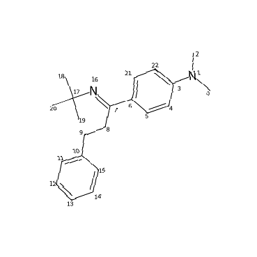 CN(C)c1ccc(/C(CCc2ccccc2)=N/C(C)(C)C)cc1